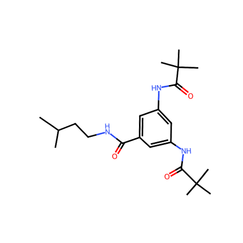 CC(C)CCNC(=O)c1cc(NC(=O)C(C)(C)C)cc(NC(=O)C(C)(C)C)c1